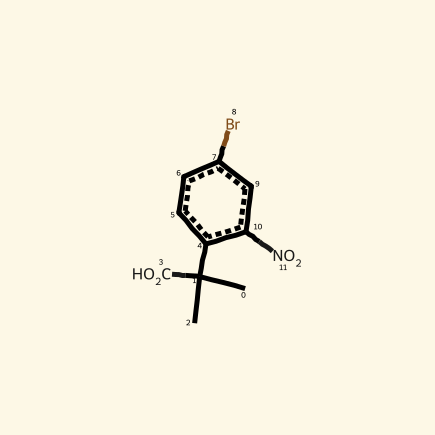 CC(C)(C(=O)O)c1ccc(Br)cc1[N+](=O)[O-]